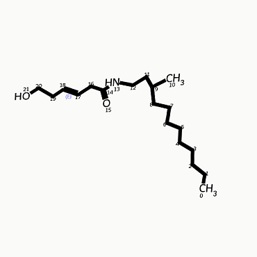 CCCCCCCCCC(C)CCNC(=O)C/C=C/CCO